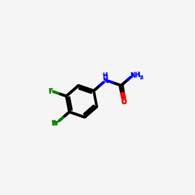 NC(=O)Nc1ccc(Br)c(F)c1